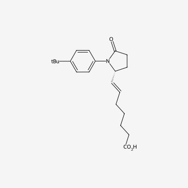 CC(C)(C)c1ccc(N2C(=O)CC[C@@H]2C=CCCCCC(=O)O)cc1